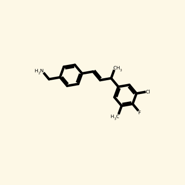 Cc1cc(C(C)/C=C/c2ccc(CN)cc2)cc(Cl)c1F